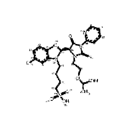 CC(O)OCCN1C(=S)N(c2ccccn2)C(=O)C1=C1Oc2ccc(Cl)cc2N1CCCCS(=O)(=O)O